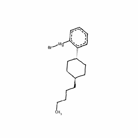 CCCCC[C@H]1CC[C@H](c2cccc[c]2[Mg][Br])CC1